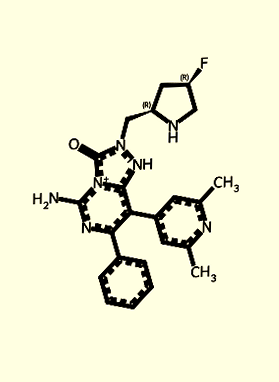 Cc1cc(-c2c(-c3ccccc3)nc(N)[n+]3c(=O)n(C[C@H]4C[C@@H](F)CN4)[nH]c23)cc(C)n1